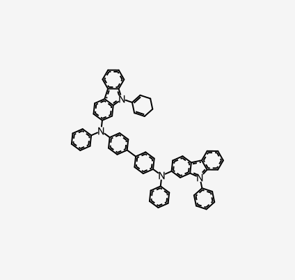 C1=CC(n2c3ccccc3c3ccc(N(c4ccccc4)c4ccc(-c5ccc(N(c6ccccc6)c6ccc7c8ccccc8n(-c8ccccc8)c7c6)cc5)cc4)cc32)=CCC1